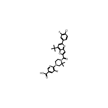 CC(C)(C)c1cc(-c2ccc(Cl)c(F)c2)nc2cc(C(=O)N3CCN(c4ncc(C(=O)O)cc4F)CC3(C)C)oc12